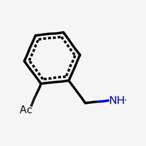 CC(=O)c1ccccc1C[NH]